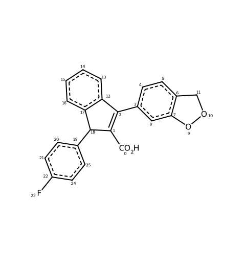 O=C(O)C1=C(c2ccc3c(c2)OOC3)c2ccccc2C1c1ccc(F)cc1